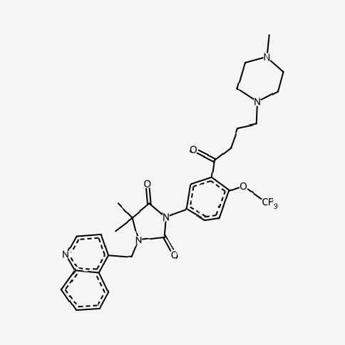 CN1CCN(CCCC(=O)c2cc(N3C(=O)N(Cc4ccnc5ccccc45)C(C)(C)C3=O)ccc2OC(F)(F)F)CC1